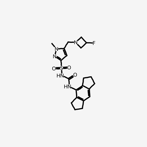 Cn1nc(S(=O)(=O)NC(=O)Nc2c3c(cc4c2CCC4)CCC3)cc1CN1CC(F)C1